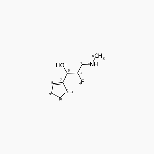 CNCC(F)C(O)C1=CCCS1